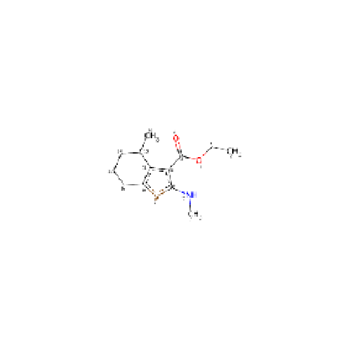 CCOC(=O)c1c(NC)sc2c1C(C)CCC2